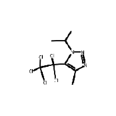 Cc1nnn(C(C)C)c1C(Cl)(Cl)C(Cl)(Cl)Cl